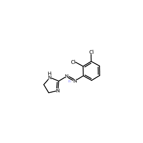 Clc1cccc(/N=N/C2=NCCN2)c1Cl